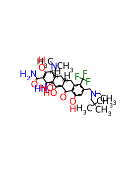 CCN(Cc1cc(O)c2c(c1C(F)(F)F)C[C@H]1C[C@H]3[C@H](N(C)C)C(O)=C(C(N)=O)C(=N)[C@@]3(O)C(O)=C1C2=O)CC(C)(C)C